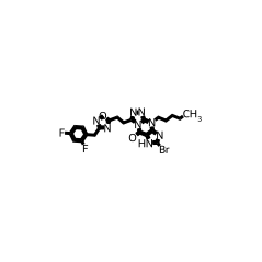 CCCCCn1c2nc(Br)[nH]c2c(=O)n2c(CCc3nc(Cc4ccc(F)cc4F)no3)nnc12